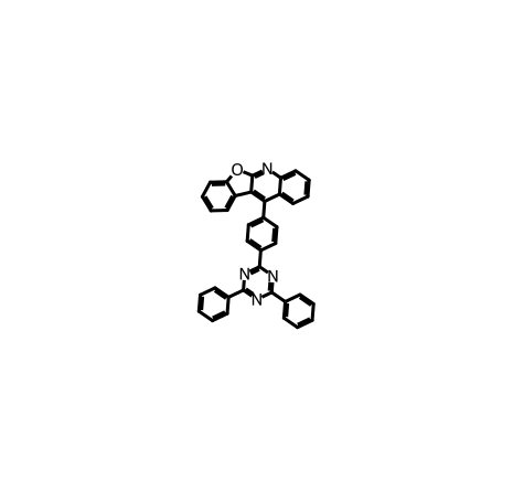 c1ccc(-c2nc(-c3ccccc3)nc(-c3ccc(-c4c5ccccc5nc5oc6ccccc6c45)cc3)n2)cc1